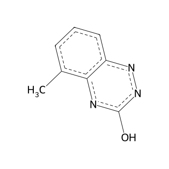 Cc1cccc2nnc(O)nc12